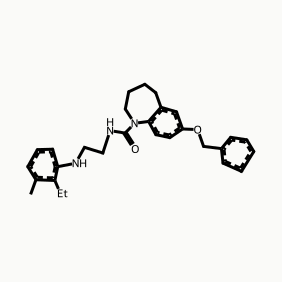 CCc1c(C)cccc1NCCNC(=O)N1CCCCc2cc(OCc3ccccc3)ccc21